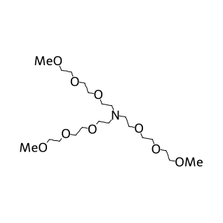 COCCOCCOCCN(CCOCCOCCOC)CCOCCOCCOC